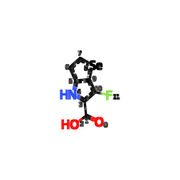 O=C(O)c1[nH]c2cc[se]c2c1F